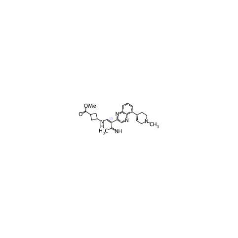 COC(=O)C1CC(N/C=C(\C(C)=N)c2cnc3c(C4=CCN(C)CC4)cccc3n2)C1